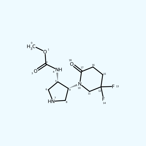 COC(=O)N[C@H]1CNC[C@H]1N1CC(F)(F)CCC1=O